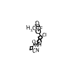 C[C@]1(N2CCC(c3cc4cc(NC(=O)[C@H]5CC[C@H]5C#N)ncc4cc3Cl)CC2)COC[C@H]1F